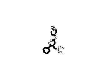 CN(C)/C=C(\CC(=O)OC1CCN(C)CC1)C(=O)c1ccccc1